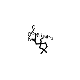 CC1(C)CCC(CN)(CC2=NOS(=O)N2)C1